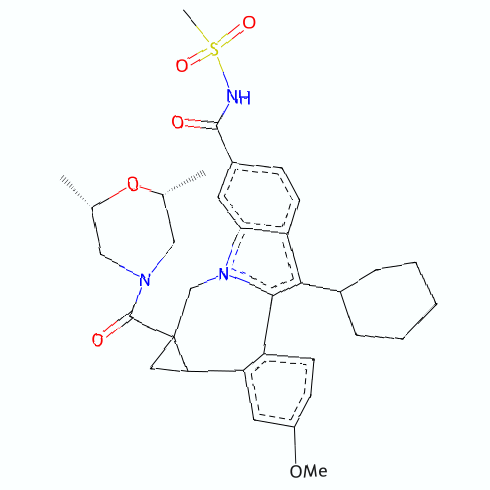 COc1ccc2c(c1)C1CC1(C(=O)N1C[C@@H](C)O[C@@H](C)C1)Cn1c-2c(C2CCCCC2)c2ccc(C(=O)NS(C)(=O)=O)cc21